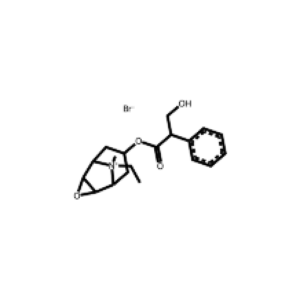 CC[N+]1(C)C2CC(OC(=O)C(CO)c3ccccc3)CC1C1OC12.[Br-]